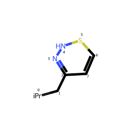 CC(C)CC1=NNSC=C1